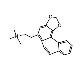 C[N+](C)(C)CCc1cc2c(c3c1ccc1ccccc13)OCO2